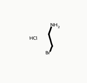 Cl.NCCBr